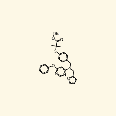 CC(C)(C)OC(=O)C(C)(C)Sc1ccc(CN(Cc2ccco2)c2cc(Oc3ccccc3)ncn2)cc1